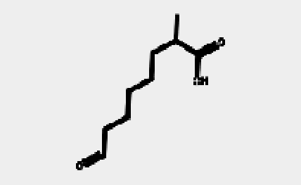 CC(CCCCCC=O)C(=O)O